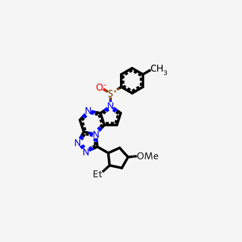 CCC1CC(OC)CC1c1nnc2cnc3c(ccn3[S+]([O-])c3ccc(C)cc3)n12